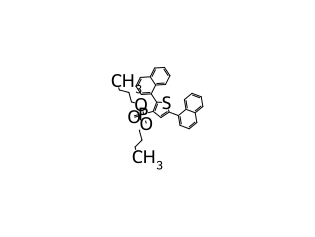 CCCCOP(=O)(OCCCC)c1cc(-c2cccc3ccccc23)sc1-c1cccc2ccccc12